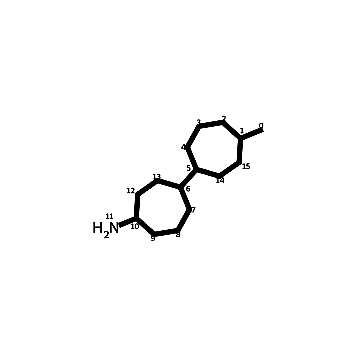 CC1CCCC(C2CCCC(N)CC2)CC1